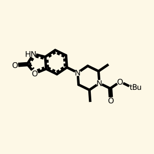 CC1CN(c2ccc3[nH]c(=O)oc3c2)CC(C)N1C(=O)OC(C)(C)C